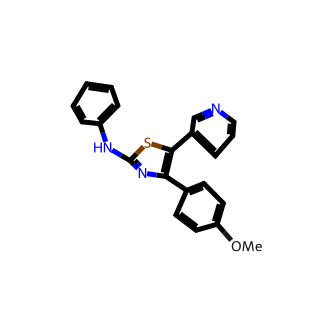 COc1ccc(-c2nc(Nc3ccccc3)sc2-c2cccnc2)cc1